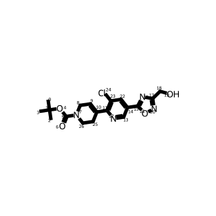 CC(C)(C)OC(=O)N1CC=C(c2ncc(-c3nc(CO)no3)cc2Cl)CC1